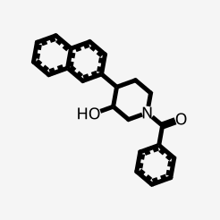 O=C(c1ccccc1)N1CCC(c2ccc3ccccc3c2)C(O)C1